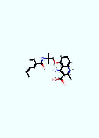 C=C/C(=C\C=C/C)C(=O)NC(C)(C)COc1cccc2nc(C)c(C(=O)O)c(N)c12